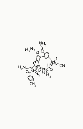 Cc1ccc(C(=O)N[C@@H](CCN)C(=O)N(C)[C@@H]2C(=O)N[C@@H](C)C(=O)N[C@H](C(=O)NCC#N)Cc3ccc(OCCN)c(c3)-c3cc2ccc3OCCN)cn1